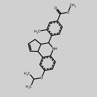 COC(=O)c1ccc(C2Nc3ccc(OC(C)C)cc3C3C=CCC32)c(C)c1